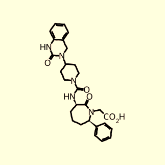 O=C(O)CN1C(=O)[C@H](NC(=O)N2CCC(N3Cc4ccccc4NC3=O)CC2)CCC[C@@H]1c1ccccc1